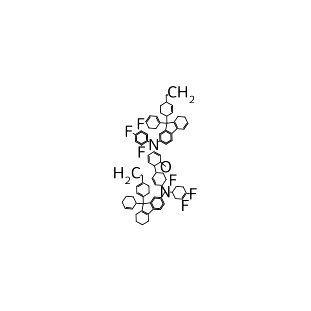 C=CC1=CC=C(C2(C3C=CCCC3)C3=C(CCCC3)c3ccc(N(C4C=CC5C(C4)OC4C=C(N(c6ccc7c(c6)C(C6=CC=CCC6)(C6C=CC(C=C)CC6)C6=C7C=CCC6)c6cc(F)c(F)cc6F)C=CC45)C4CC(F)=C(F)CC4F)cc32)CC1